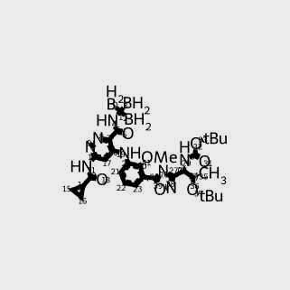 BC(B)(B)NC(=O)c1nnc(NC(=O)C2CC2)cc1Nc1cccc(-c2nc([C@H](NC(=O)OC(C)(C)C)[C@H](C)OC(C)(C)C)no2)c1OC